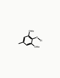 [CH2]c1cc(OC)c(OCC)c(OC)c1